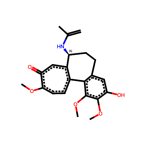 C=C(C)N[C@H]1CCc2cc(O)c(OC)c(OC)c2-c2ccc(OC)c(=O)cc21